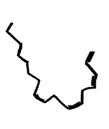 C=C/C=C\C/C=C\C/C=C\CCCCCCC